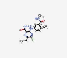 CCc1nc(C(N)=O)c(Nc2ccc(C)c(C(=O)NC)c2)nc1Cl